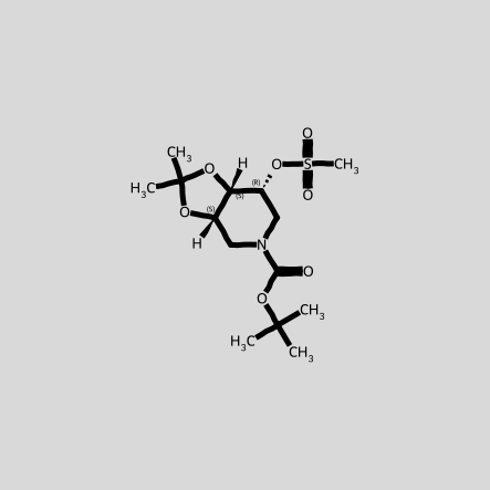 CC(C)(C)OC(=O)N1C[C@@H]2OC(C)(C)O[C@@H]2[C@H](OS(C)(=O)=O)C1